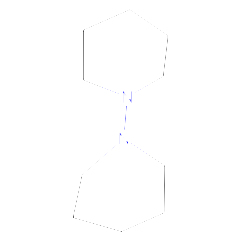 C1CCN([N+]2CCCCC2)CC1